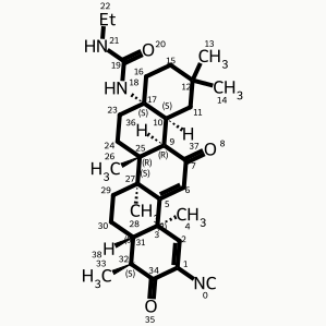 [C-]#[N+]C1=C[C@]2(C)C3=CC(=O)[C@@H]4[C@@H]5CC(C)(C)CC[C@]5(NC(=O)NCC)CC[C@@]4(C)[C@]3(C)CC[C@H]2[C@H](C)C1=O